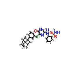 CNS(=O)(=O)c1ccccc1Nc1cnc(Oc2ccc(C34CC5CC6CC(C3)C54C6)cc2Cl)cn1